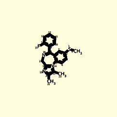 CSc1ccc2c(c1)C(c1ccccc1F)=NCc1nc(C)c(C)n1-2